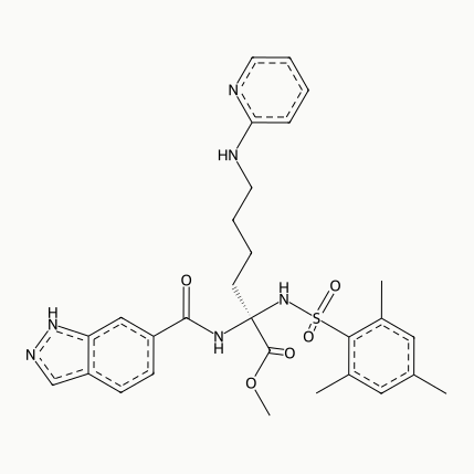 COC(=O)[C@@](CCCCNc1ccccn1)(NC(=O)c1ccc2cn[nH]c2c1)NS(=O)(=O)c1c(C)cc(C)cc1C